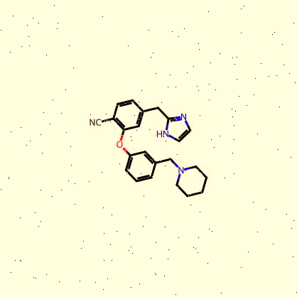 N#Cc1ccc(Cc2ncc[nH]2)cc1Oc1cccc(CN2CCCCC2)c1